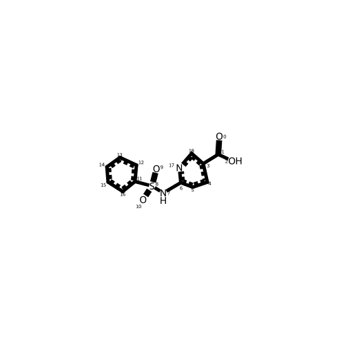 O=C(O)c1ccc(NS(=O)(=O)c2ccccc2)nc1